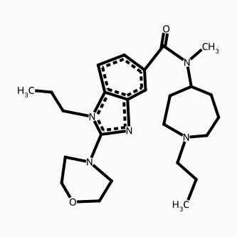 CCCN1CCCC(N(C)C(=O)c2ccc3c(c2)nc(N2CCOCC2)n3CCC)CC1